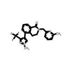 Cc1cccc(CN2CCc3c(cccc3-c3cn(C)nc3C(F)(F)F)C2=O)n1